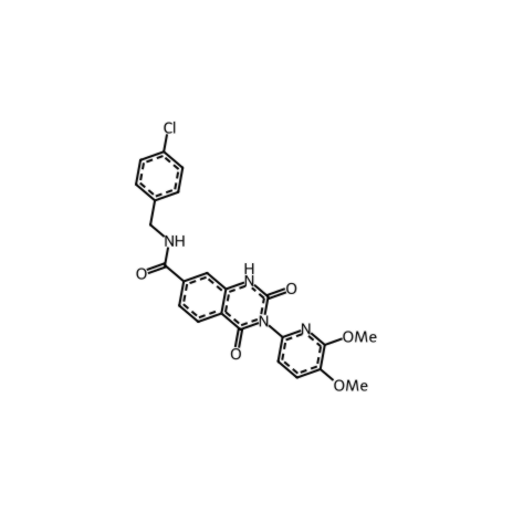 COc1ccc(-n2c(=O)[nH]c3cc(C(=O)NCc4ccc(Cl)cc4)ccc3c2=O)nc1OC